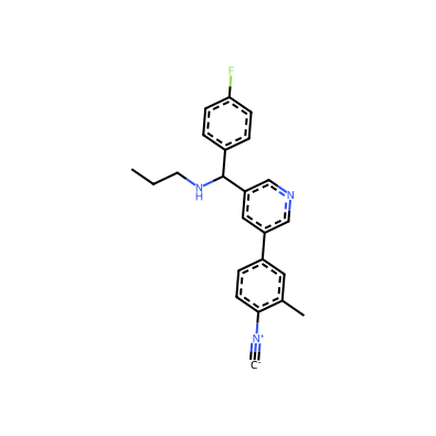 [C-]#[N+]c1ccc(-c2cncc(C(NCCC)c3ccc(F)cc3)c2)cc1C